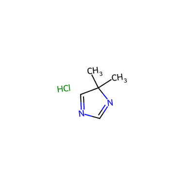 CC1(C)C=NC=N1.Cl